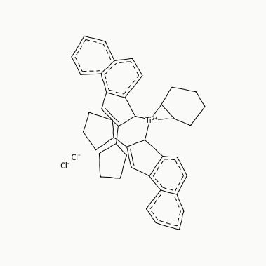 C1=C(C2CCCC2)[CH]([Ti+2]2([CH]3C(C4CCCC4)=Cc4c3ccc3ccccc43)[CH]3CCCC[CH]32)c2ccc3ccccc3c21.[Cl-].[Cl-]